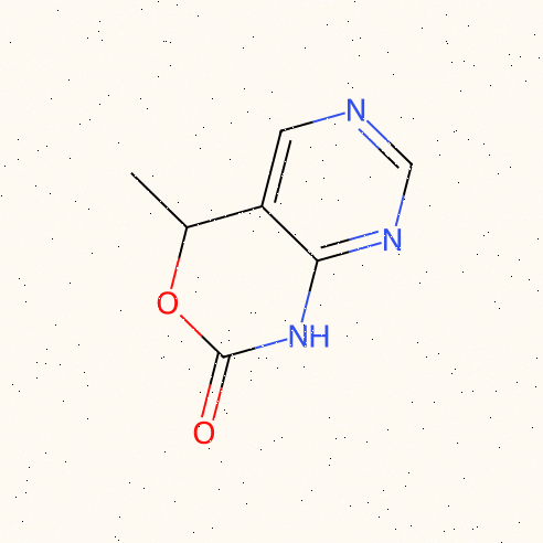 CC1OC(=O)Nc2ncncc21